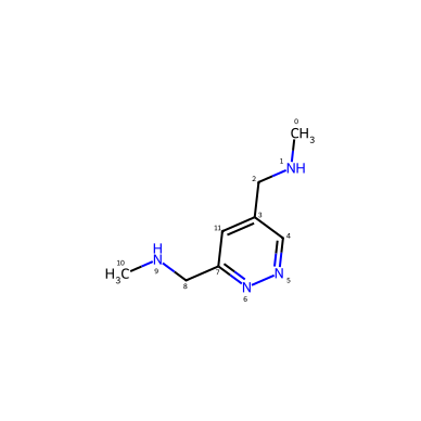 CNCc1cnnc(CNC)c1